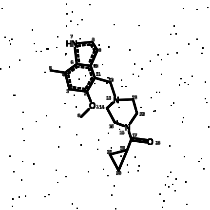 COc1cc(C)c2[nH]ccc2c1CN1CCN(C(=O)C2CC2)CC1